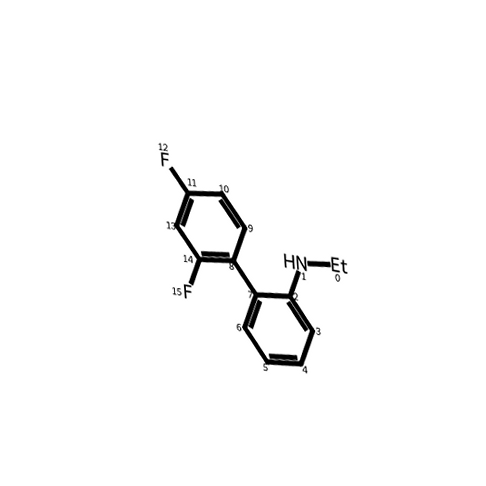 CCNc1ccccc1-c1ccc(F)cc1F